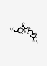 C=CC1=CN2C(=O)C(NC(=O)Cc3nsc(N)n3)[C@@H]2SC1